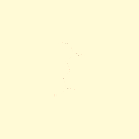 CO[PH](=O)OCCN(C)C